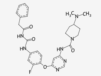 CN(C)C1CCN(C(=O)Nc2cc(Oc3ccc(NC(=O)NC(=O)Cc4ccccc4)cc3F)ncn2)CC1